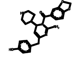 NC1=NC(Cc2ccc(O)cc2)=CC(C2CCNCC2)N1C(=O)c1ccc2c(c1)OCO2